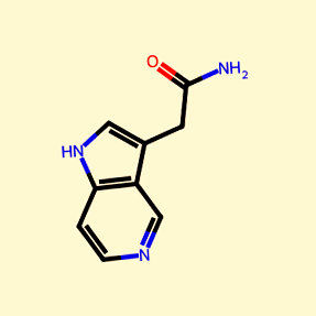 NC(=O)Cc1c[nH]c2ccncc12